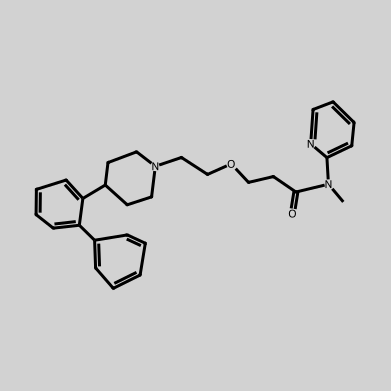 CN(C(=O)CCOCCN1CCC(c2ccccc2-c2ccccc2)CC1)c1ccccn1